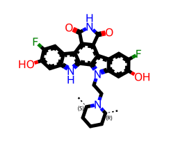 C[C@@H]1CCC[C@H](C)N1CCn1c2cc(O)c(F)cc2c2c3c(c4c5cc(F)c(O)cc5[nH]c4c21)C(=O)NC3=O